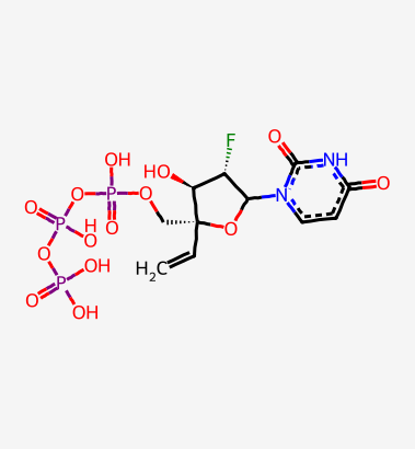 C=C[C@]1(COP(=O)(O)OP(=O)(O)OP(=O)(O)O)OC(n2ccc(=O)[nH]c2=O)[C@@H](F)[C@@H]1O